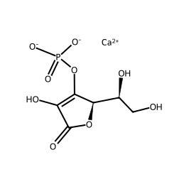 O=C1O[C@H]([C@@H](O)CO)C(OP(=O)([O-])[O-])=C1O.[Ca+2]